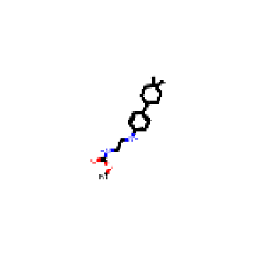 CC1(C)CCC(c2ccc(NCCNC(=O)OC(C)(C)C)cc2)CC1